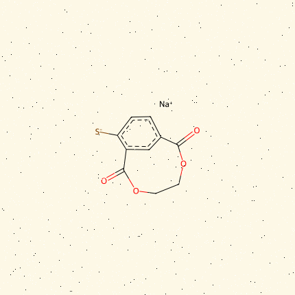 O=C1OCCOC(=O)c2cc1ccc2[S-].[Na+]